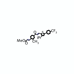 COC(=O)/C=C/c1ccc(C(=O)/C=C/c2sc(-c3ccc(C(F)(F)F)cc3)cc2C(C)C)cc1C